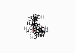 C=C1C[C@@]23CC[C@H]4[C@@](C)(CCC[C@@]4(C)C(=O)O[C@@H]4O[C@H](CO)[C@@H](O)[C@H](O)[C@H]4O)[C@@H]2CC[C@]1(O[C@@H]1O[C@H](CO)[C@@H](O)[C@H](O)[C@H]1O[C@@H]1O[C@H](CO)[C@@H](O)[C@H](O)[C@H]1O)C3.O